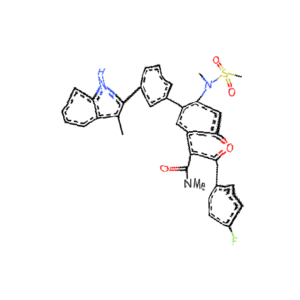 CNC(=O)c1c(-c2ccc(F)cc2)oc2cc(N(C)S(C)(=O)=O)c(-c3cccc(-c4[nH]c5ccccc5c4C)c3)cc12